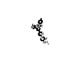 Cc1ccc(S(=O)(=O)n2cc(-c3ccc(N4CC[C@H](N)[C@H](F)C4)nc3)cc2-c2cnn(C)c2)cc1